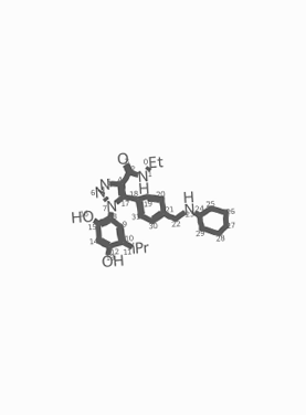 CCNC(=O)c1nnn(-c2cc(C(C)C)c(O)cc2O)c1-c1ccc(CNC2CCCCC2)cc1